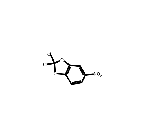 O=[N+]([O-])c1ccc2c(c1)OC(Cl)(Cl)O2